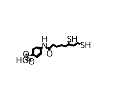 O=C(CCCCC(S)CCS)Nc1ccc(S(=O)(=O)O)cc1